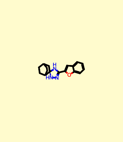 c1ccc2oc(C3=NN[C@@]4(CC5CCC4CC5)N3)cc2c1